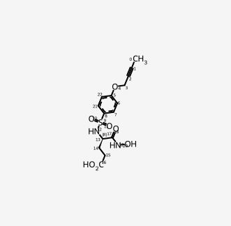 CC#CCOc1ccc(S(=O)(=O)N[C@H](CCC(=O)O)C(=O)NO)cc1